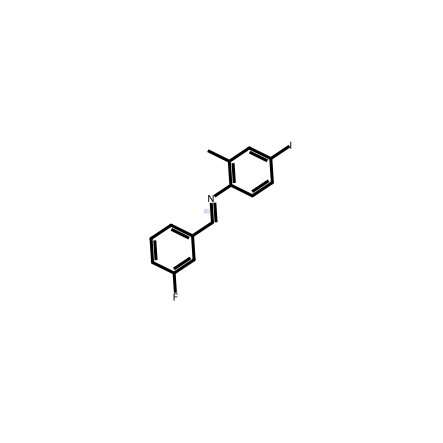 Cc1cc(I)ccc1/N=C/c1cccc(F)c1